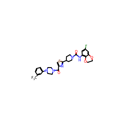 O=C(Nc1cc(F)cc2c1OCCO2)N1CCC(c2nc(C(=O)N3CCN(c4cccc(C(F)(F)F)c4)CC3)cs2)CC1